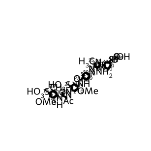 COc1cc(/N=N/C(C(C)=O)C(=O)Nc2cc(C)c(S(=O)(=O)O)cc2OC)c(S(=O)(=O)O)cc1NC(=O)c1ccc(/N=N/c2c(C)nn(-c3cccc(SOOO)c3)c2N)cc1